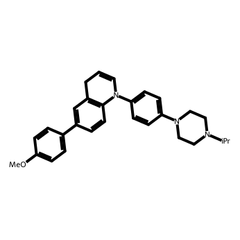 COc1ccc(-c2ccc3c(c2)CC=CN3c2ccc(N3CCN(C(C)C)CC3)cc2)cc1